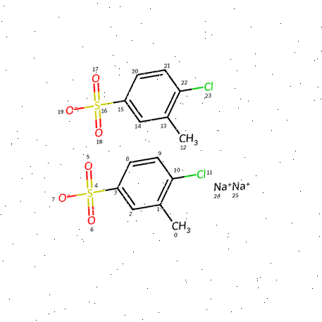 Cc1cc(S(=O)(=O)[O-])ccc1Cl.Cc1cc(S(=O)(=O)[O-])ccc1Cl.[Na+].[Na+]